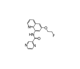 O=C(Nc1cc(OCCF)cc2cccnc12)c1cnccn1